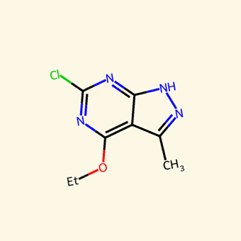 CCOc1nc(Cl)nc2[nH]nc(C)c12